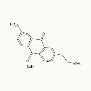 CCCCCCCCCCCCc1ccc2c(c1)C(=O)c1cc(S(=O)(=O)O)ccc1C2=O.[NaH]